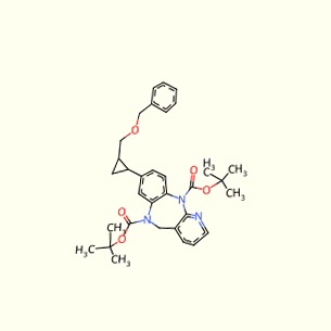 CC(C)(C)OC(=O)N1Cc2cccnc2N(C(=O)OC(C)(C)C)c2ccc(C3CC3COCc3ccccc3)cc21